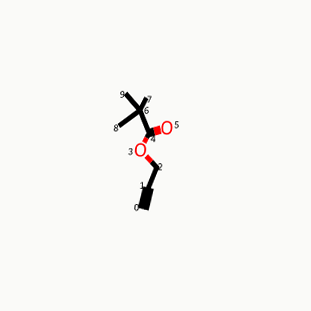 C#CCOC(=O)C(C)(C)C